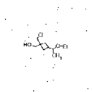 CCOC(C)C1CC(CO)(CCl)C1